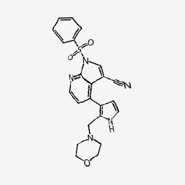 N#Cc1cn(S(=O)(=O)c2ccccc2)c2nccc(-c3cc[nH]c3CN3CCOCC3)c12